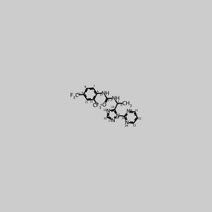 CC(NC(=O)Nc1ccc(C(F)(F)F)cc1C(F)(F)F)c1ncnn1-c1ncccn1